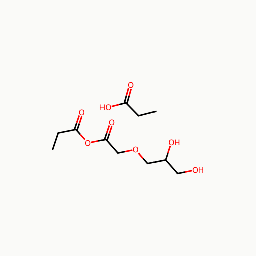 CCC(=O)O.CCC(=O)OC(=O)COCC(O)CO